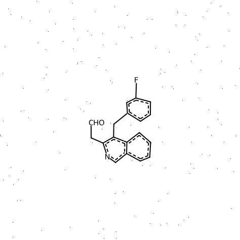 O=CCc1ncc2ccccc2c1Cc1cccc(F)c1